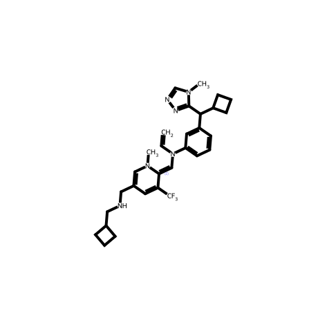 C=CN(/C=C1/C(C(F)(F)F)=CC(CNCC2CCC2)=CN1C)c1cccc(C(c2nncn2C)C2CCC2)c1